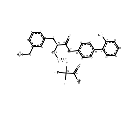 CCOC(=O)N[C@@H](Cc1cccc(CN)c1)C(=O)Nc1ccc(-c2ccccc2C#N)cc1.O=C(O)C(F)(F)F